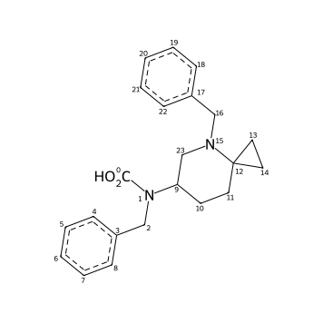 O=C(O)N(Cc1ccccc1)C1CCC2(CC2)N(Cc2ccccc2)C1